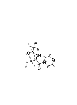 CCC(C)(C)[C@@H](N[S@@+]([O-])C(C)(C)C)C(=O)N1CCOCC1